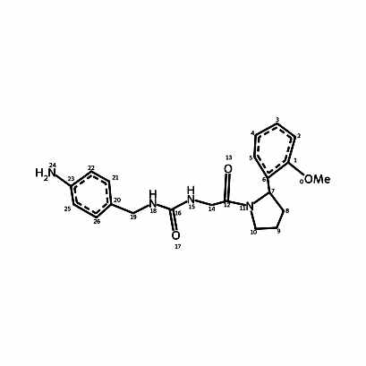 COc1ccccc1C1CCCN1C(=O)CNC(=O)NCc1ccc(N)cc1